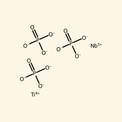 O=P([O-])([O-])[O-].O=P([O-])([O-])[O-].O=P([O-])([O-])[O-].[Nb+5].[Ti+4]